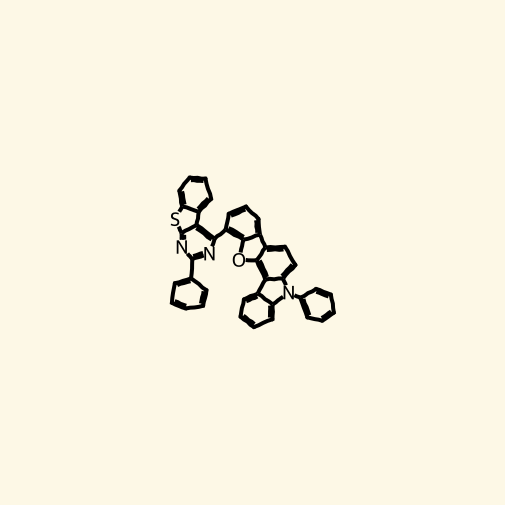 c1ccc(-c2nc(-c3cccc4c3oc3c4ccc4c3c3ccccc3n4-c3ccccc3)c3c(n2)sc2ccccc23)cc1